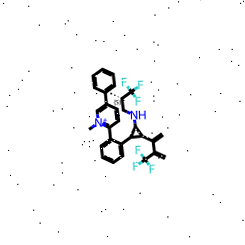 C=C(C(=C)C(F)(F)F)C1C(NC[C@H](C)C(F)(F)F)C1c1ccccc1-c1ccc(-c2ccccc2)c[n+]1C